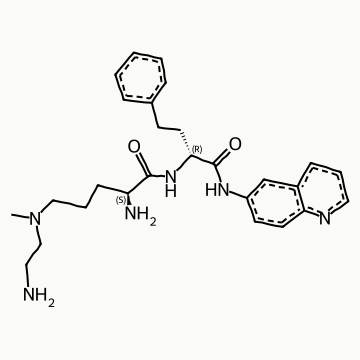 CN(CCN)CCC[C@H](N)C(=O)N[C@H](CCc1ccccc1)C(=O)Nc1ccc2ncccc2c1